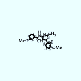 COc1cccc([C@H](C)Nc2cc(-c3cccc(OC)c3F)nc(C)n2)c1